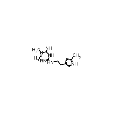 Cc1cc(CCNC(=N)NC(=N)N(C)C)c[nH]1